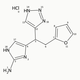 Cl.Nc1nc(C(Cc2ccco2)c2c[nH]nn2)c[nH]1